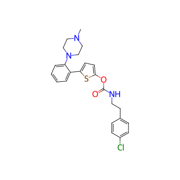 CN1CCN(c2ccccc2-c2ccc(OC(=O)NCCc3ccc(Cl)cc3)s2)CC1